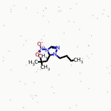 CCCCN1N=CN([N+](=O)[O-])C1CC(C)(C)C